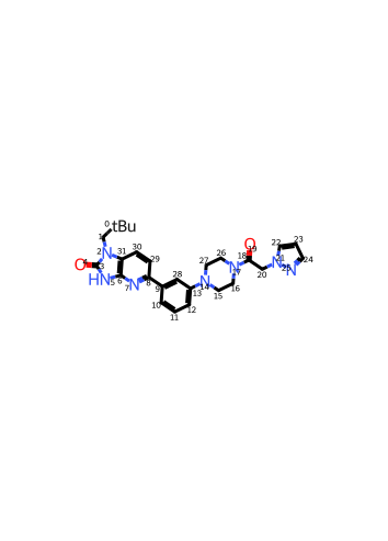 CC(C)(C)Cn1c(=O)[nH]c2nc(-c3cccc(N4CCN(C(=O)Cn5cccn5)CC4)c3)ccc21